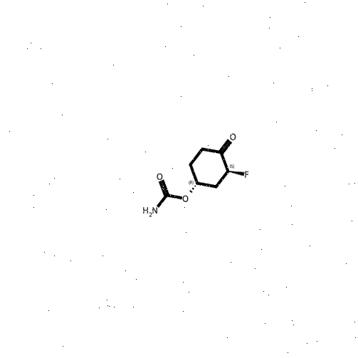 NC(=O)O[C@@H]1CCC(=O)[C@@H](F)C1